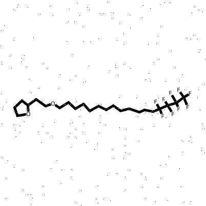 FC(F)(F)C(F)(F)C(F)(F)C(F)(F)CCCCCCCCCCCCCOCCC1CCCO1